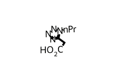 CCCn1nnnc1CC(=O)O